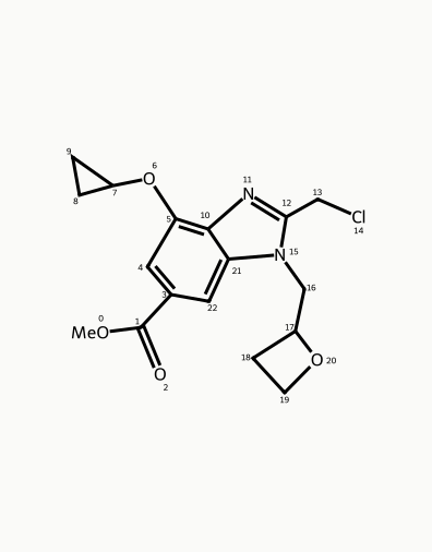 COC(=O)c1cc(OC2CC2)c2nc(CCl)n(CC3CCO3)c2c1